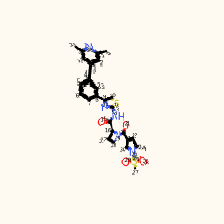 Cc1cc(-c2cccc(-c3csc(NC(=O)[C@@H]4CCN4C(=O)c4ccn(S(C)(=O)=O)c4)n3)c2)cc(C)n1